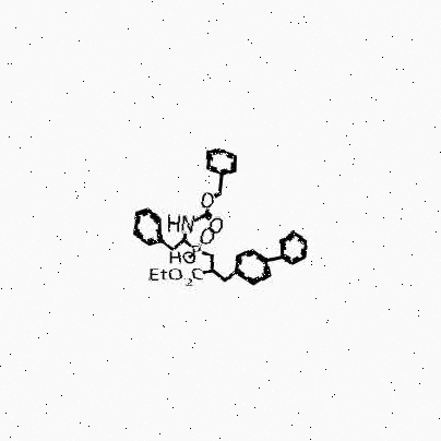 CCOC(=O)C(Cc1ccc(-c2ccccc2)cc1)CP(=O)(O)C(Cc1ccccc1)NC(=O)OCc1ccccc1